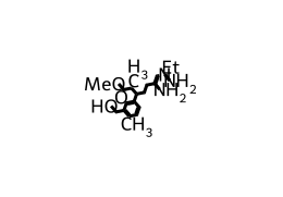 CCN(N)/C=C(\N)CCC(c1ccc(C)c(CO)c1)C(C)C(=O)OC